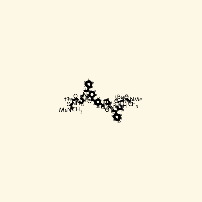 CN[C@@H](C)C(=O)N[C@H](C(=O)N1CCC[C@H]1CN(CCc1ccccc1)C(=O)[C@@H]1CCCC1C(=O)c1ccc(C(=O)N2CCC[C@H]2C(=O)N(CCc2ccccc2)C[C@@H]2CCCN2C(=O)[C@@H](NC(=O)[C@H](C)NC)C(C)(C)C)cc1)C(C)(C)C